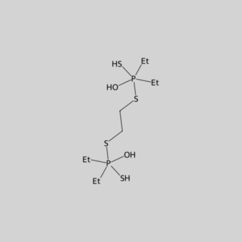 CCP(O)(S)(CC)SCCSP(O)(S)(CC)CC